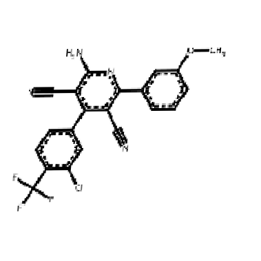 COc1cccc(-c2nc(N)c(C#N)c(-c3ccc(C(F)(F)F)c(Cl)c3)c2C#N)c1